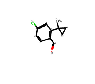 CC1(c2cc(Cl)ccc2C=O)CC1